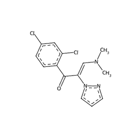 CN(C)C=C(C(=O)c1ccc(Cl)cc1Cl)n1cccn1